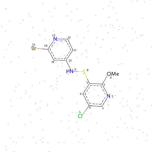 COc1ncc(Cl)cc1SNc1ccnc(Br)c1